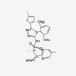 COc1cccc(OC)c1-n1c(NS(=O)(=O)[C@@H](C)[C@H](OC)c2ncc(C)cn2)nnc1-c1ccc(C)s1